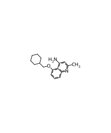 Cc1cc(N)c2c(OCC3CCCCC3)cccc2n1